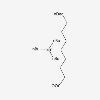 CCCCCCCCCCCCCCCCCC(=O)[O-].CCC[CH2][Sn+]([CH2]CCC)[CH2]CCC